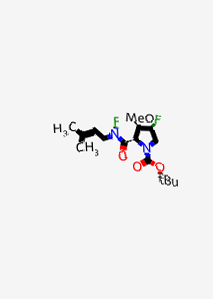 CO[C@H]1[C@@H](C(=O)N(F)CC=C(C)C)N(C(=O)OC(C)(C)C)C[C@@H]1F